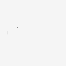 CC([CH]CCCCCC(C)C)=C(Cl)Cl